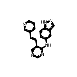 C(=Cc1cncnc1Nc1ccc2[nH]ncc2c1)c1cccnc1